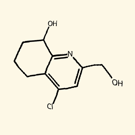 OCc1cc(Cl)c2c(n1)C(O)CCC2